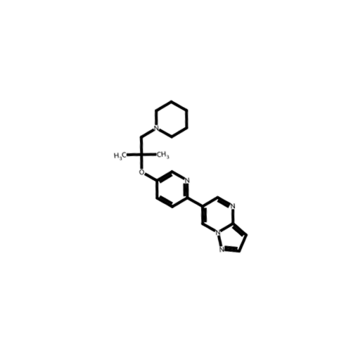 CC(C)(CN1CCCCC1)Oc1ccc(-c2cnc3ccnn3c2)nc1